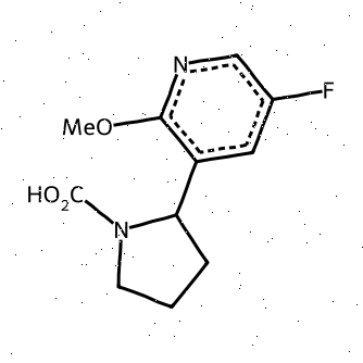 COc1ncc(F)cc1C1CCCN1C(=O)O